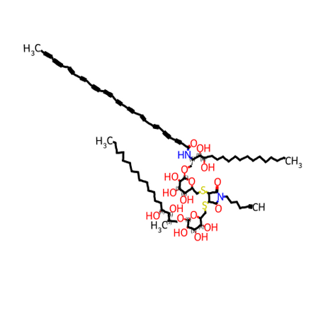 C#CCCCCN1C(=O)C(SCC2O[C@H](OC[C@H](NC(=O)C#CC#CC#CC#CC#CC#CC#CC#CC#CC#CC#CC#CC)[C@H](O)[C@H](O)CCCCCCCCCCCCCC)C(O)[C@@H](O)[C@H]2O)C(SCC2O[C@H](OC[C@H](C)[C@H](O)[C@H](O)CCCCCCCCCCCCCC)C(O)[C@@H](O)[C@H]2O)C1=O